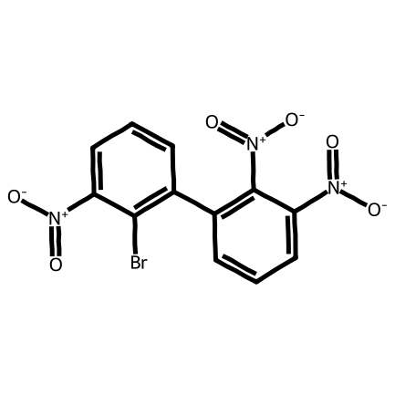 O=[N+]([O-])c1cccc(-c2cccc([N+](=O)[O-])c2[N+](=O)[O-])c1Br